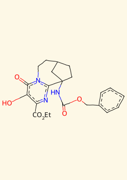 CCOC(=O)c1nc2n(c(=O)c1O)CCC1CCC2(NC(=O)OCc2ccccc2)C1